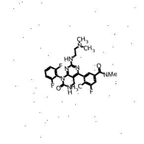 CNC(=O)c1cc(F)c(C)c(-c2nc(NCCN(C)C)nc3c2CNC(=O)N3c2c(F)cccc2F)c1